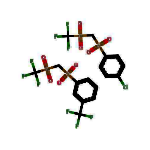 O=S(=O)(CS(=O)(=O)C(F)(F)F)c1ccc(Cl)cc1.O=S(=O)(CS(=O)(=O)C(F)(F)F)c1cccc(C(F)(F)F)c1